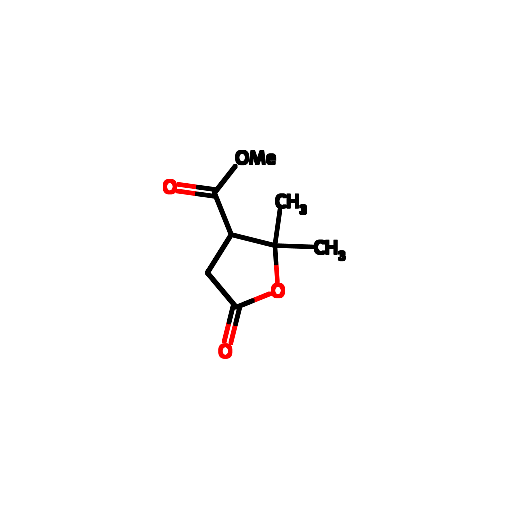 COC(=O)C1CC(=O)OC1(C)C